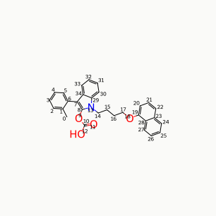 Cc1ccccc1-c1c(OC(=O)O)n(CCCCOc2cccc3ccccc23)c2ccccc12